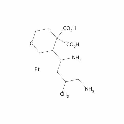 CC(CN)CC(N)C1COCCC1(C(=O)O)C(=O)O.[Pt]